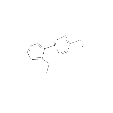 O=C(O)Cc1ccccc1-c1ccc(CBr)cc1